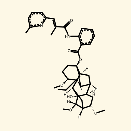 CCN1C[C@]2(OC(=O)c3ccccc3NC(=O)/C(C)=C/c3cccc(C)n3)CC[C@H](OC)[C@]34C1[C@@H](C[C@H]23)[C@@]1(O)C[C@H](OC)[C@H]2C[C@@H]4[C@]1(O)[C@H]2OC